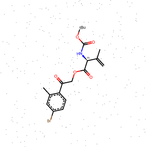 C=C(C)[C@H](NC(=O)OC(C)(C)C)C(=O)OCC(=O)c1ccc(Br)cc1C